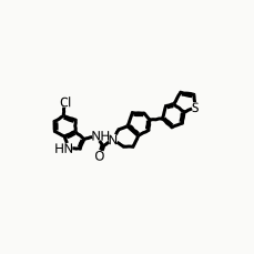 O=C(Nc1c[nH]c2ccc(Cl)cc12)N1CCc2cc(-c3ccc4sccc4c3)ccc2C1